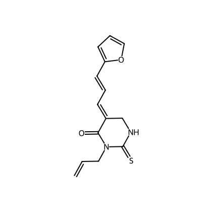 C=CCN1C(=O)/C(=C/C=C/c2ccco2)CNC1=S